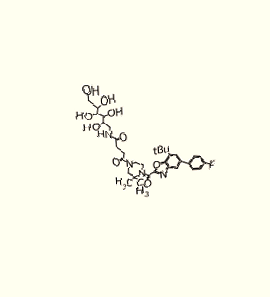 CC(C)(C)c1cc(-c2ccc(F)cc2)cc2nc(C(=O)N3CCN(C(=O)CCC(=O)NCC(O)C(O)C(O)C(O)CO)CC3(C)C)oc12